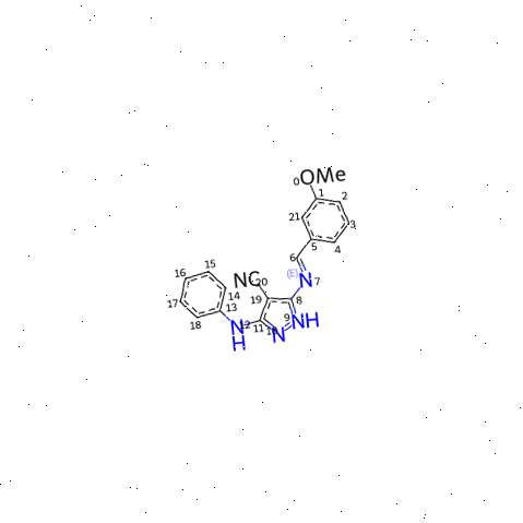 COc1cccc(/C=N/c2[nH]nc(Nc3ccccc3)c2C#N)c1